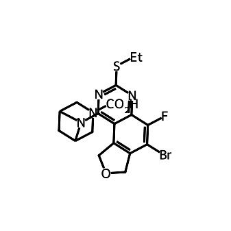 CCSc1nc(N2C3CC2CN(C(=O)O)C3)c2c3c(c(Br)c(F)c2n1)COC3